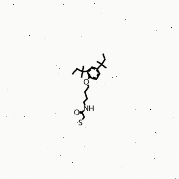 CCC(C)(C)c1ccc(OCCCCNC(=O)C[S])c(C(C)(C)CC)c1